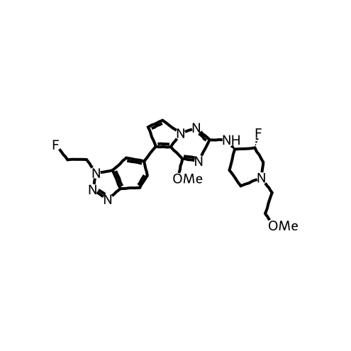 COCCN1CC[C@@H](Nc2nc(OC)c3c(-c4ccc5nnn(CCF)c5c4)ccn3n2)[C@H](F)C1